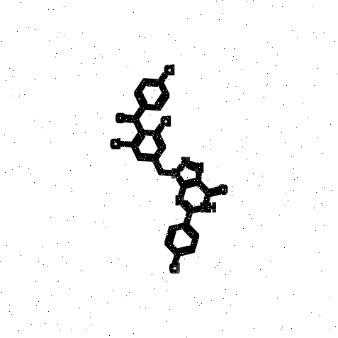 O=C(c1ccc(Cl)cc1)c1c(Cl)cc(Cn2nnc3c(=O)[nH]c(-c4ccc(Cl)cc4)nc32)cc1Cl